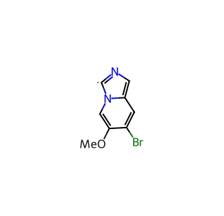 COc1cn2[c]ncc2cc1Br